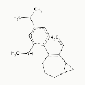 C=CC1=C(c2ccc(C(C)C)cc2NC)CCCC2CC12